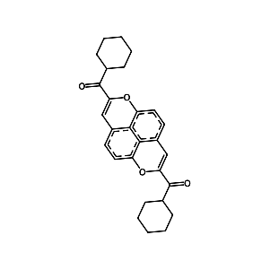 O=C(C1=Cc2ccc3c4c(ccc(c24)O1)C=C(C(=O)C1CCCCC1)O3)C1CCCCC1